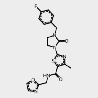 Cc1nc(N2CCN(Cc3ccc(F)cc3)C2=O)sc1C(=O)NCc1ncco1